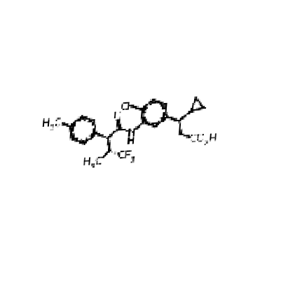 Cc1ccc([C@@H](C(=O)Nc2cc(C(CC(=O)O)C3CC3)ccc2Cl)[C@@H](C)C(F)(F)F)cc1